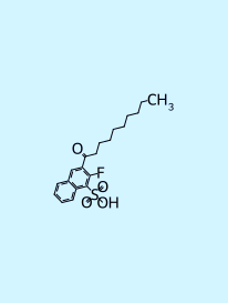 CCCCCCCCCC(=O)c1cc2ccccc2c(S(=O)(=O)O)c1F